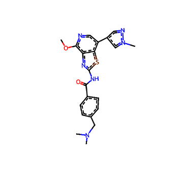 COc1ncc(-c2cnn(C)c2)c2sc(NC(=O)c3ccc(CN(C)C)cc3)nc12